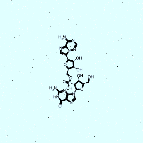 Nc1nc2c(ncn2[C@@H]2O[C@H](CO)[C@@H](O)[C@H]2P(=O)(O)OC[C@H]2O[C@@H](c3cnc4c(N)ncnn34)[C@H](O)[C@@H]2O)c(=O)[nH]1